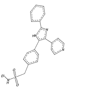 CCNS(=O)(=O)Cc1ccc(-c2[nH]c(-c3ccccc3)nc2-c2ccncc2)cc1